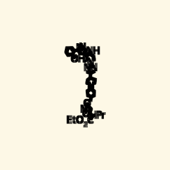 CCOC(=O)C(c1cc(OCC2CCC(N3CCC(c4cnc(N5CCc6[nH]c7nnc(-c8ccccc8O)cc7c6[C@@H]5C)nc4)CC3)CC2)no1)C(C)C